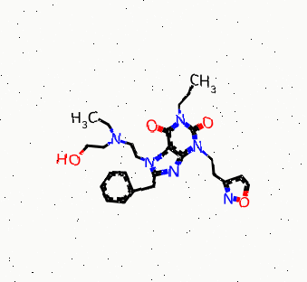 CCCn1c(=O)c2c(nc(Cc3ccccc3)n2CCN(CC)CCO)n(CCc2ccon2)c1=O